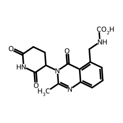 Cc1nc2cccc(CNC(=O)O)c2c(=O)n1C1CCC(=O)NC1=O